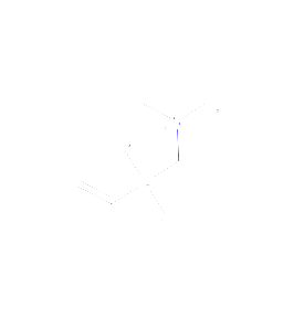 C=C[Si](C)(C)CN(C)CCC